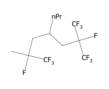 CCCC(CC(C)(F)C(F)(F)F)CC(F)(C(F)(F)F)C(F)(F)F